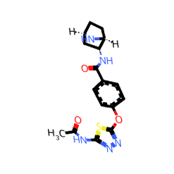 CC(=O)Nc1nnc(Oc2ccc(C(=O)N[C@@H]3C[C@H]4CC[C@@H]3N4)cc2)s1